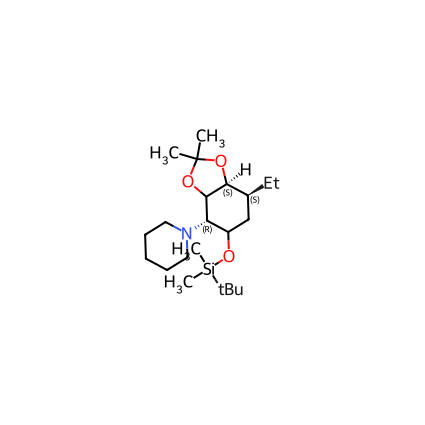 CC[C@H]1CC(O[Si](C)(C)C(C)(C)C)[C@H](N2CCCCC2)C2OC(C)(C)O[C@H]21